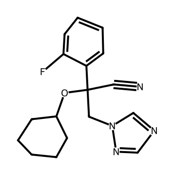 N#CC(Cn1cncn1)(OC1CCCCC1)c1ccccc1F